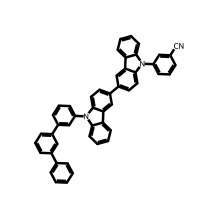 N#Cc1cccc(-n2c3ccccc3c3cc(-c4ccc5c(c4)c4ccccc4n5-c4cccc(-c5cccc(-c6ccccc6)c5)c4)ccc32)c1